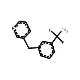 CC(F)(F)c1cccc([CH]c2cccnc2)c1